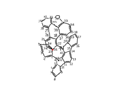 c1ccc(-n2c3ccccc3c3ccc4c5ccccc5n(-c5cccc6c7cccc8oc9cccc(c56)c9c87)c4c32)cc1